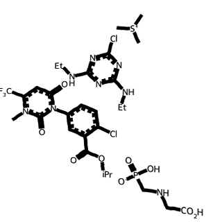 CC(C)OC(=O)c1cc(-n2c(=O)cc(C(F)(F)F)n(C)c2=O)ccc1Cl.CCNc1nc(Cl)nc(NCC)n1.C[S+](C)C.O=C(O)CNCP(=O)([O-])O